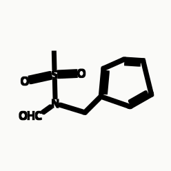 CS(=O)(=O)N(C=O)Cc1ccccc1